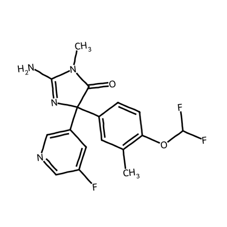 Cc1cc(C2(c3cncc(F)c3)N=C(N)N(C)C2=O)ccc1OC(F)F